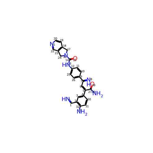 N=Cc1cc(/C(=C/C(=N)c2ccc(NC(=O)N3Cc4ccncc4C3)cc2)C(N)=O)ccc1N